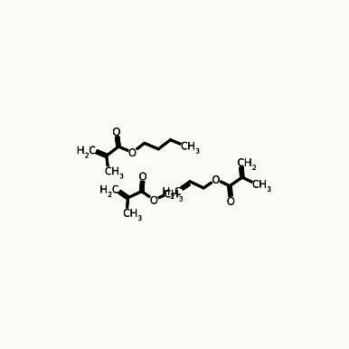 C=C(C)C(=O)OC.C=C(C)C(=O)OCCCC.C=CCOC(=O)C(=C)C